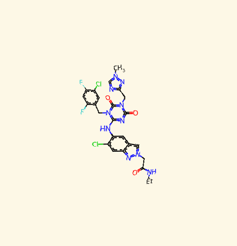 CCNC(=O)Cn1cc2cc(Nc3nc(=O)n(Cc4ncn(C)n4)c(=O)n3Cc3cc(Cl)c(F)cc3F)c(Cl)cc2n1